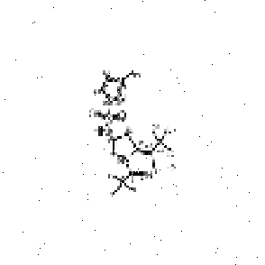 C[C@@H]1N=C(C(C)(C)C)N2CC(NS(=O)(=O)c3ccn(C)n3)CC2=C1C(C)(C)C